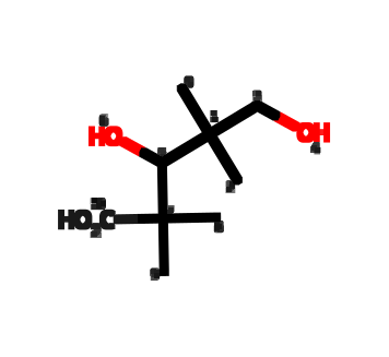 CC(C)(CO)C(O)C(C)(C)C(=O)O